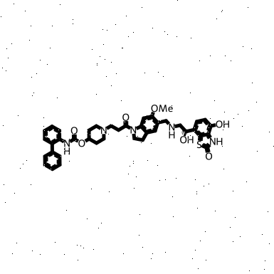 COc1cc2c(cc1CNC[C@H](O)c1ccc(O)c3[nH]c(=O)sc13)CCN2C(=O)CCN1CCC(OC(=O)Nc2ccccc2-c2ccccc2)CC1